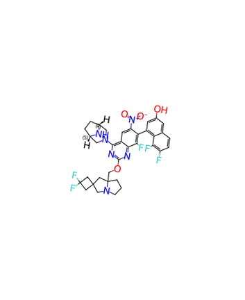 O=[N+]([O-])c1cc2c(N3C[C@H]4CC[C@@H](C3)N4)nc(OCC34CCCN3CC3(CC(F)(F)C3)C4)nc2c(F)c1-c1cc(O)cc2ccc(F)c(F)c12